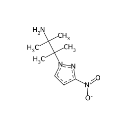 CC(C)(N)C(C)(C)n1ccc([N+](=O)[O-])n1